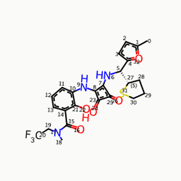 Cc1ccc(C(Nc2c(Nc3cccc(C(=O)N(C)CC(F)(F)F)c3O)c(=O)c2=O)[C@@H]2CCCS2)o1